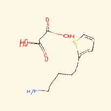 NCCCc1cccs1.O=C(O)C(=O)O